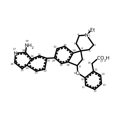 CCN1CCC2(CC1)CC(Oc1ccccc1CC(=O)O)c1cc(-c3ccc4ccnc(N)c4c3)ccc12